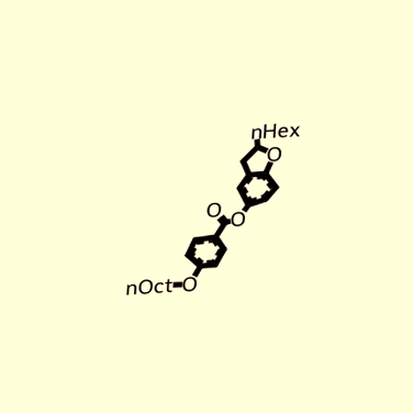 CCCCCCCCOc1ccc(C(=O)Oc2ccc3c(c2)CC(CCCCCC)O3)cc1